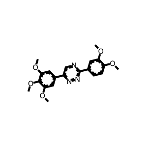 COc1ccc(-c2ncc(-c3cc(OC)c(OC)c(OC)c3)nn2)cc1OC